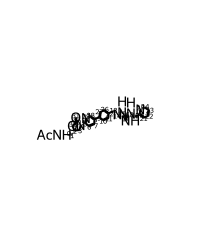 CC(=O)NC[C@H]1CN(c2ccc(-c3ccc(/C=N/NC(=N)NCc4ccccn4)cc3)cn2)C(=O)O1